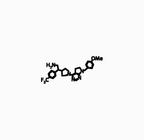 COc1ccc(CN2CCc3c(N4CCC(C(CN)c5ccc(C(F)(F)F)cc5)CC4)ncnc32)cc1